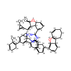 C=C1OC2C=CC=C(/C(N)=N/C(=N\CC[C@@]34C=C(C5=C(C)C=CCC5)C=C(c5ccccc5)C3C4)C3C=CC=C(c4cccc5c6c(oc45)C=CCCC6)C3)C2/C1=C/C1=C[C@H]1C